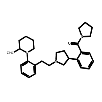 O=CC1CCCCN1c1ccccc1CCN1CCC(c2ccccc2C(=O)N2CCCC2)C1